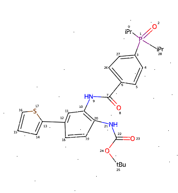 CC(C)P(=O)(c1ccc(C(=O)Nc2cc(-c3cccs3)ccc2NC(=O)OC(C)(C)C)cc1)C(C)C